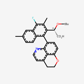 Cc1ccc2c(-c3ccc4c5c(ccnc35)CCO4)c([C@H](OC(C)(C)C)C(=O)O)c(C)c(F)c2c1